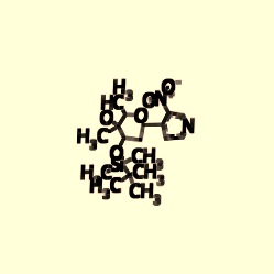 CC1OC(c2ccncc2[N+](=O)[O-])CC(O[Si](C)(C)C(C)(C)C)C1(C)O